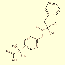 CC(O)(Cc1ccccc1)C(=O)Oc1ccc(C(C)(C)C(=O)O)cc1